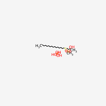 CCCCCCCCCCCCCCCCSCC(C(C)O)S(C)(=O)=O.O=P(O)(O)O